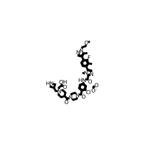 COCCn1ncc(-c2ccc(-c3cnc(C(=O)Nc4ccc(C(=O)N5CCN(C(=O)C6CC[N+](CC(=O)O)(CC7CNC7)CC6)CC5)c(Cl)c4)n3C)c(C)c2F)c1C.O=C[O-]